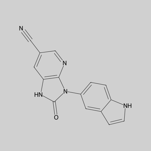 N#Cc1cnc2c(c1)[nH]c(=O)n2-c1ccc2[nH]ccc2c1